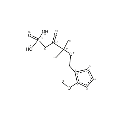 COc1ccsc1COC(C)(C)C(=O)CP(=O)(O)O